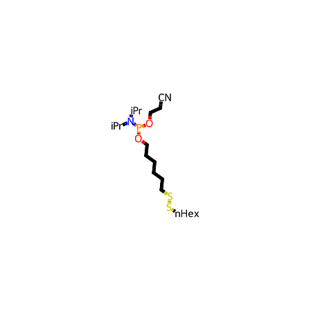 [CH2]CCCCCSSCCCCCCOP(OCCC#N)N(C(C)C)C(C)C